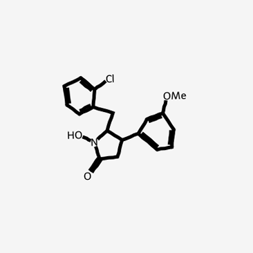 COc1cccc(C2CC(=O)N(O)C2Cc2ccccc2Cl)c1